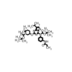 C=CC(=O)Nc1cccc(N(C(=O)OC(C)(C)C)c2nc(OC3CCC(C)(C)N(C(=O)OC(C)(C)C)C3)nc3c(C(C)C)cnn23)c1